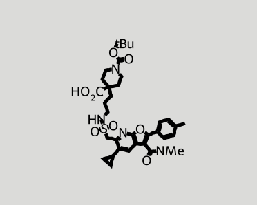 CNC(=O)c1c(-c2ccc(C)cc2)oc2nc(CS(=O)(=O)NCCCC3(C(=O)O)CCN(C(=O)OC(C)(C)C)CC3)c(C3CC3)cc12